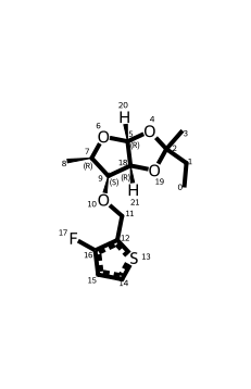 CCC1(C)O[C@H]2O[C@H](C)[C@H](OCc3sccc3F)[C@H]2O1